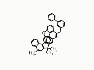 Cc1cc2c(c3ccccc13)-c1ccc(/C=C(/Cc3cccc(-c4ccccc4)c3)c3cccc4oc5ccccc5c34)cc1C2(C)C